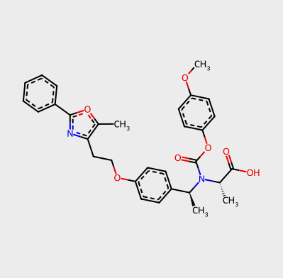 COc1ccc(OC(=O)N([C@@H](C)C(=O)O)[C@@H](C)c2ccc(OCCc3nc(-c4ccccc4)oc3C)cc2)cc1